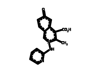 Cc1c(C(=O)O)c2cc(=O)ccc-2cn1Nc1ccccn1